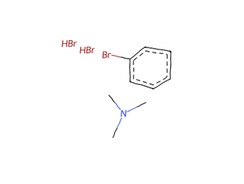 Br.Br.Brc1ccccc1.CN(C)C